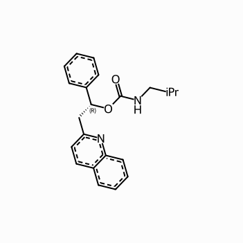 CC(C)CNC(=O)O[C@H](Cc1ccc2ccccc2n1)c1ccccc1